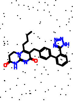 CCCCc1c(Cc2ccc(-c3ccccc3-c3nnn[nH]3)cc2)c(=O)nc2n1CCC(=O)N2